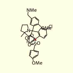 CNCc1ccc(OC)c(C2(N3CCCC3(C)c3ncco3)C(=O)N(S(=O)(=O)c3ccc(OC)cc3)c3ccc(Cl)cc32)c1